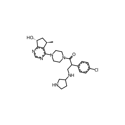 C[C@@H]1C[C@@H](O)c2ncnc(N3CCN(C(=O)C(CNC4CCNC4)c4ccc(Cl)cc4)CC3)c21